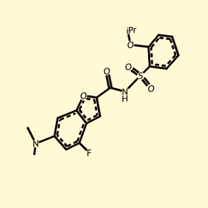 CC(C)Oc1ccccc1S(=O)(=O)NC(=O)c1cc2c(F)cc(N(C)C)cc2o1